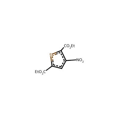 CCOC(=O)c1cc([N+](=O)[O-])c(C(=O)OCC)s1